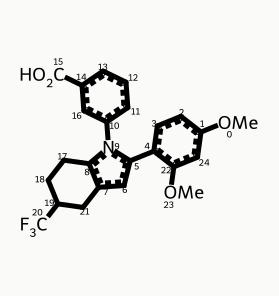 COc1ccc(-c2cc3c(n2-c2cccc(C(=O)O)c2)CCC(C(F)(F)F)C3)c(OC)c1